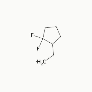 [CH2]CC1CCCC1(F)F